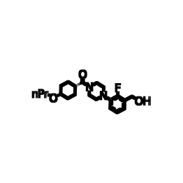 CCCO[C@H]1CC[C@H](C(=O)N2CCN(c3cccc(CO)c3F)CC2)CC1